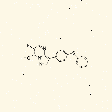 Oc1c(F)cnc2c(-c3ccc(Sc4ccccc4)cc3)cnn12